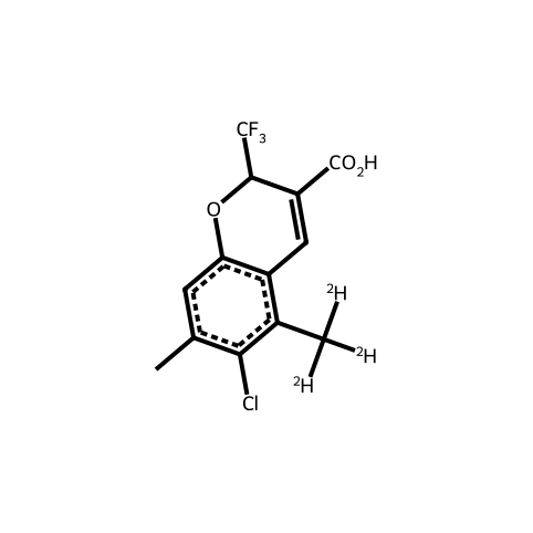 [2H]C([2H])([2H])c1c(Cl)c(C)cc2c1C=C(C(=O)O)C(C(F)(F)F)O2